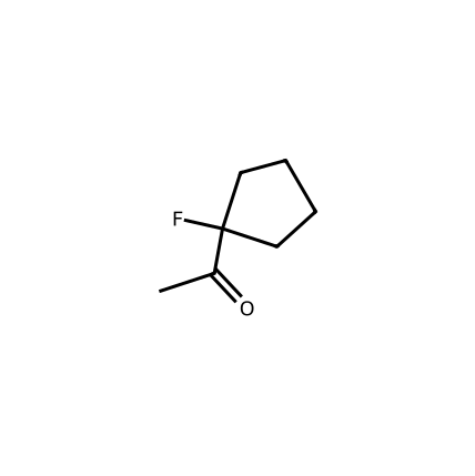 CC(=O)C1(F)CCCC1